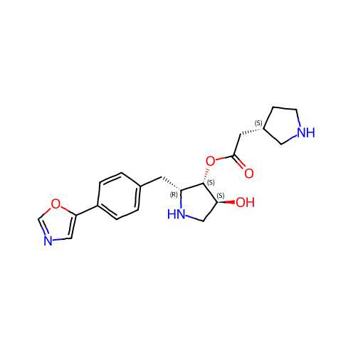 O=C(C[C@@H]1CCNC1)O[C@@H]1[C@@H](O)CN[C@@H]1Cc1ccc(-c2cnco2)cc1